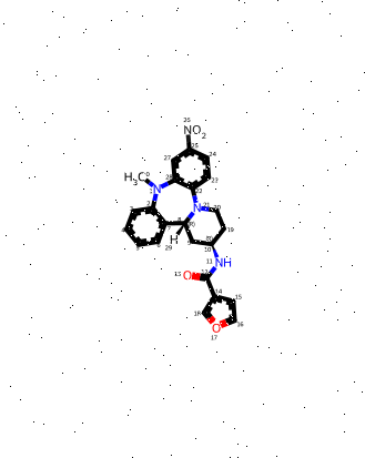 CN1c2ccccc2[C@H]2C[C@H](NC(=O)c3ccoc3)CCN2c2ccc([N+](=O)[O-])cc21